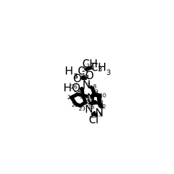 CC(C)(C)OC(=O)N1Cc2cc3cnc(Cl)nc3n2C2(CCCCC2)C1O